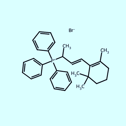 CC1=C(C=CC(C)[P+](c2ccccc2)(c2ccccc2)c2ccccc2)C(C)(C)CCC1.[Br-]